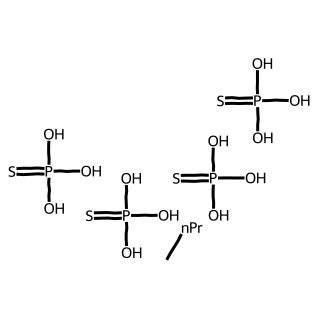 CCCC.OP(O)(O)=S.OP(O)(O)=S.OP(O)(O)=S.OP(O)(O)=S